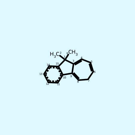 CC1(C)C2=CC=CCC=C2c2ccccc21